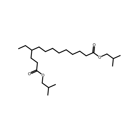 CCC(CCCCCCCCC(=O)OCC(C)C)CCC(=O)OCC(C)C